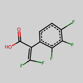 O=C(O)C(=C(F)F)c1ccc(F)c(F)c1F